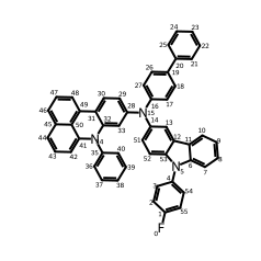 Fc1ccc(-n2c3ccccc3c3cc(N(c4ccc(-c5ccccc5)cc4)c4ccc5c(c4)N(c4ccccc4)c4cccc6cccc-5c46)ccc32)cc1